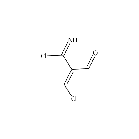 N=C(Cl)/C(C=O)=C/Cl